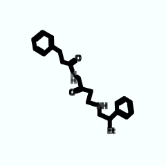 CCC(CNCCC(=O)CNC(=O)CCc1ccccc1)c1ccccc1